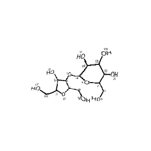 OCC1OC(OC2C(CO)OC(CO)C2O)C(O)C(O)C1O